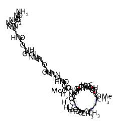 CO[C@H]1C[C@@H]2CC[C@@H](C)[C@@](O)(O2)C(=O)C(=O)N2CCCC[C@H]2C(=O)O[C@H]([C@H](N)C[C@@H]2CC[C@@H](OC(=O)NCc3cnc(N4CCN(C(=O)CCOCCN5CCN(c6ncc(C(=O)NCCOCCC(=O)NCCCCn7nc(-c8ccc9oc(N)nc9c8)c8c(N)ncnc87)cn6)CC5)CC4)nc3)[C@H](OC)C2)CC(=O)[C@H](C)/C=C(\C)[C@@H](O)[C@@H](O)C(=O)[C@H](C)C[C@H](C)/C=C/C=C/C=C/1C